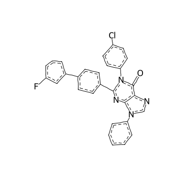 O=c1c2ncn(-c3ccccc3)c2nc(-c2ccc(-c3cccc(F)c3)cc2)n1-c1ccc(Cl)cc1